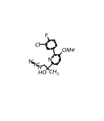 COc1ccc(C(C)(O)CN=[N+]=[N-])nc1-c1ccc(F)c(Cl)c1